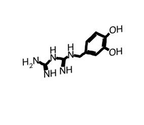 N=C(N)NC(=N)NCc1ccc(O)c(O)c1